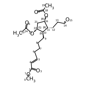 COC(=O)C=CCCCC[C@@H]1[C@@H](CCC=O)[C@H](OC(C)=O)C[C@@H]1OC(C)=O